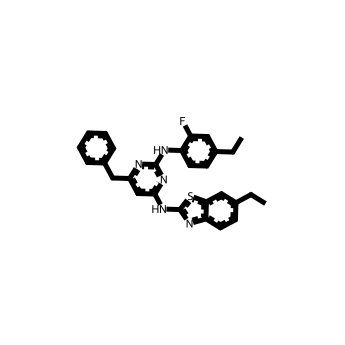 CCc1ccc(Nc2nc(Cc3ccccc3)cc(Nc3nc4ccc(CC)cc4s3)n2)c(F)c1